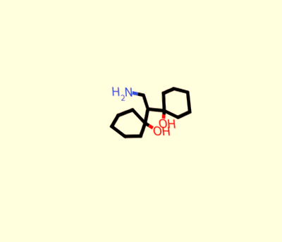 NCC(C1(O)CCCCC1)C1(O)CCCCC1